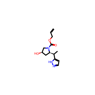 C=CCOC(=O)N1C[C@H](O)C[C@@H]1C(C)c1ccn[nH]1